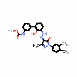 CC1=NN(c2ccc(C)c(C)c2)C(=O)C1=NNc1cccc(-c2cccc(NC(=O)OC(C)(C)C)c2)c1O